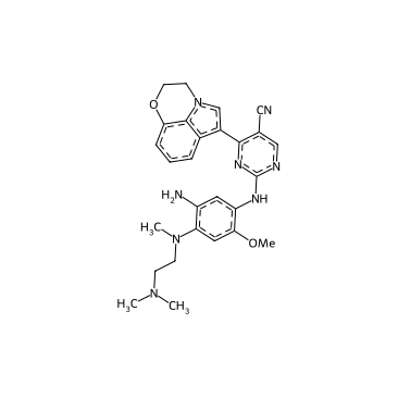 COc1cc(N(C)CCN(C)C)c(N)cc1Nc1ncc(C#N)c(-c2cn3c4c(cccc24)OCC3)n1